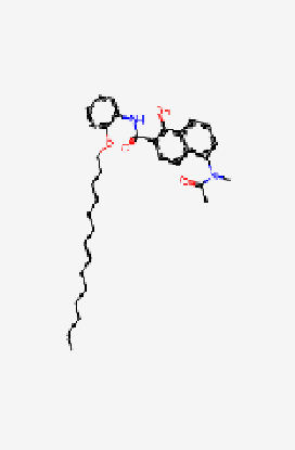 CCCCCCCCCCCCCCOc1ccccc1NC(=O)c1ccc2c(N(C)C(C)=O)cccc2c1O